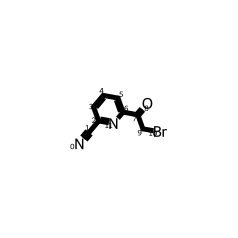 N#Cc1cccc(C(=O)CBr)n1